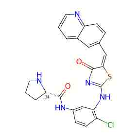 O=C1N=C(Nc2cc(NC(=O)[C@@H]3CCCN3)ccc2Cl)SC1=Cc1ccc2ncccc2c1